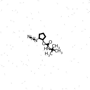 CC(C)(C)NC(=O)O[C@@H]1CCC[C@H]1N=[N+]=[N-]